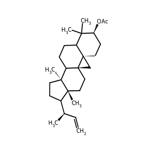 C=C[C@@H](C)C1CC[C@@]2(C)C3CCC4C(C)(C)[C@@H](OC(C)=O)CC[C@@]45C[C@@]35CC[C@]12C